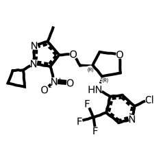 Cc1nn(C2CCC2)c([N+](=O)[O-])c1OC[C@H]1COC[C@@H]1Nc1cc(Cl)ncc1C(F)(F)F